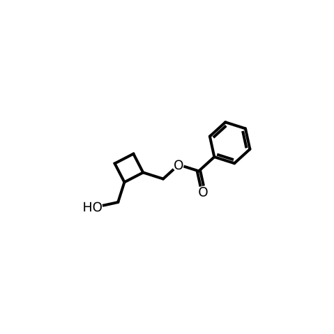 O=C(OCC1CCC1CO)c1ccccc1